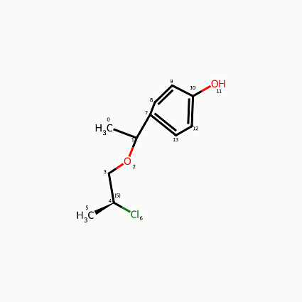 CC(OC[C@H](C)Cl)c1ccc(O)cc1